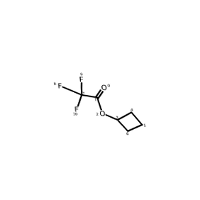 O=C(OC1CCC1)C(F)(F)F